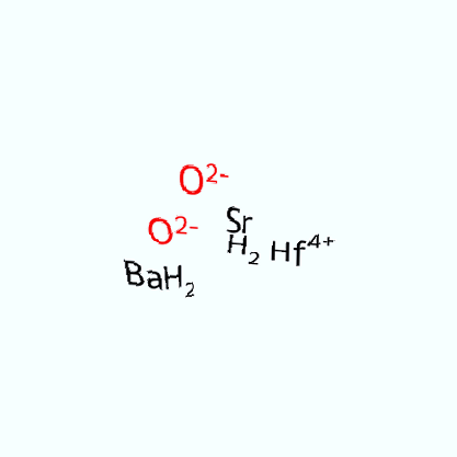 [BaH2].[Hf+4].[O-2].[O-2].[SrH2]